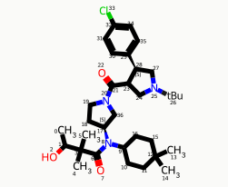 CC(O)C(C)(C)C(=O)N(C1CCC(C)(C)CC1)[C@H]1CCN(C(=O)C2CN(C(C)(C)C)C[C@@H]2c2ccc(Cl)cc2)C1